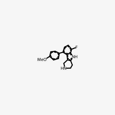 COc1ccc(-c2ccc(F)c3[nH]c4c(c23)CNCC4)cc1